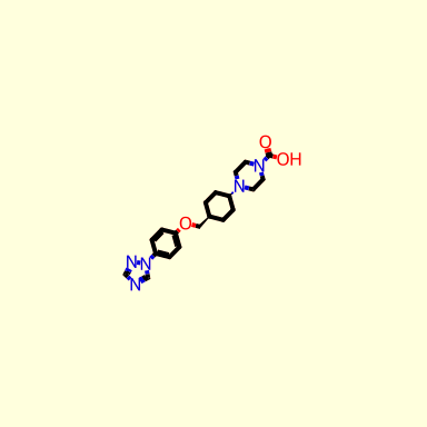 O=C(O)N1CCN([C@H]2CC[C@H](COc3ccc(-n4cncn4)cc3)CC2)CC1